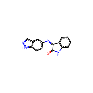 O=C1Nc2ccccc2/C1=N/c1ccc2[nH]ncc2c1